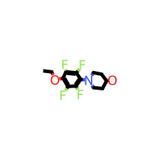 CCOc1c(F)c(F)c(N2CCC(=O)CC2)c(F)c1F